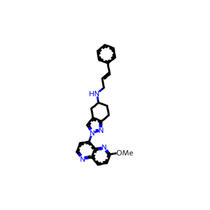 COc1ccc2nccc(-n3cc4c(n3)CCC(NC/C=C/c3ccccc3)C4)c2n1